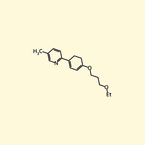 CCOCCCOC1=CC=C(c2ccc(C)cn2)CC1